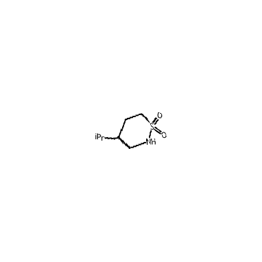 CC(C)C1CCS(=O)(=O)NC1